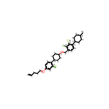 C=CCCCOc1ccc(C2CCC(OCc3ccc(C4CCC(C)CC4)c(F)c3F)CC2)c(F)c1